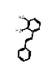 Nc1c(O)cccc1C=Cc1ccccc1